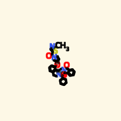 Cc1ncc(C(=O)N2CC[C@H](Oc3cccc4c3[C@@H](CN3C(=O)c5ccccc5C3=O)N(C(=O)C3CCCCC3)CC4)C2)s1